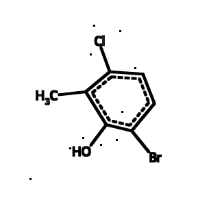 Cc1c(Cl)ccc(Br)c1O